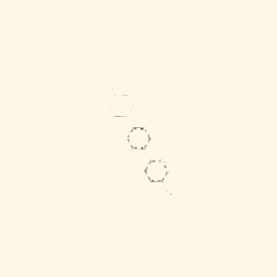 CCCc1ccc(-c2ccc([C@H]3CC[C@H](CCC)CC3)cc2F)nc1